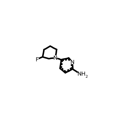 Nc1ccc(N2CCCC(F)C2)cn1